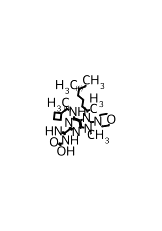 CC[C@H](C)CCCC(C)N1c2c(N[C@H](C)C3CCC3)nc(C(=N)NC(=O)O)nc2N(C)C1N1CCOCC1